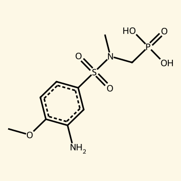 COc1ccc(S(=O)(=O)N(C)CP(=O)(O)O)cc1N